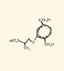 CC(COc1cc(C(=O)O)ccc1C(=O)O)S(=O)(=O)O